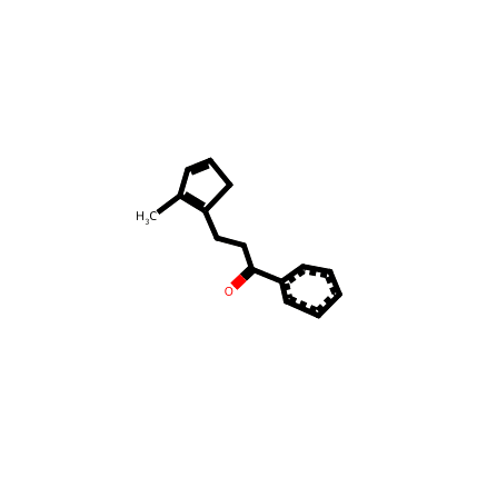 CC1=C(CCC(=O)c2ccccc2)CC=C1